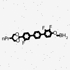 BCOc1ccc(-c2ccc(-c3ccc(C4OCC(CCC)CO4)c(F)c3)cc2)c(F)c1F